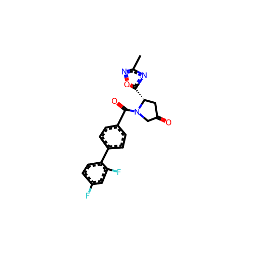 Cc1noc([C@@H]2CC(=O)CN2C(=O)c2ccc(-c3ccc(F)cc3F)cc2)n1